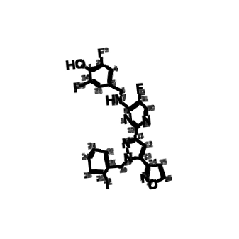 Oc1c(F)cc(CNc2nc(-c3cc(-c4ccon4)n(Cc4ccccc4F)n3)ncc2F)cc1F